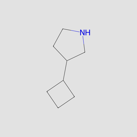 C1CC(C2CCNC2)C1